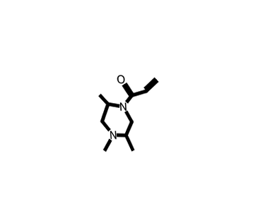 C=CC(=O)N1CC(C)N(C)CC1C